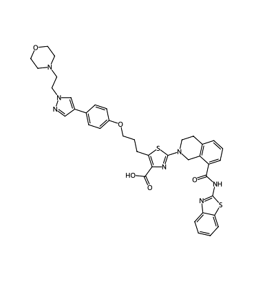 O=C(Nc1nc2ccccc2s1)c1cccc2c1CN(c1nc(C(=O)O)c(CCCOc3ccc(-c4cnn(CCN5CCOCC5)c4)cc3)s1)CC2